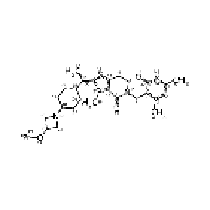 Cc1cc(C)c(CN2CCc3sc([C@H](C)[C@H]4CC[C@H](N5CC(OC(C)C)C5)CC4)c(C)c3C2=O)c(=O)[nH]1